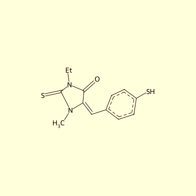 CCN1C(=O)/C(=C\c2ccc(S)cc2)N(C)C1=S